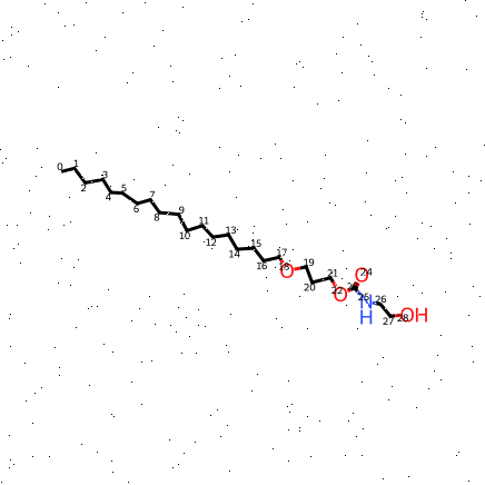 CCCCCCCCCCCCCCCCCCOCCCOC(=O)NCCO